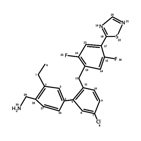 CCc1cc(-c2cc(Cl)ccc2Cc2cc(F)c(-c3ncns3)cc2F)ccc1CN